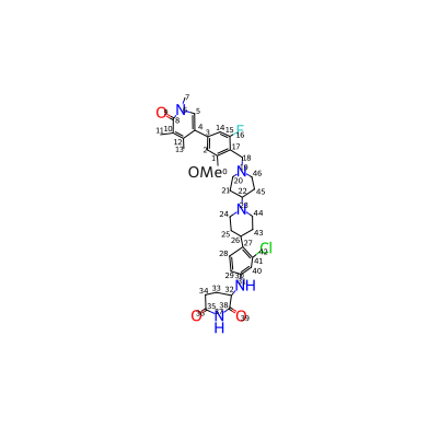 COc1cc(-c2cn(C)c(=O)c(C)c2C)cc(F)c1CN1CCC(N2CCC(c3ccc(NC4CCC(=O)NC4=O)cc3Cl)CC2)CC1